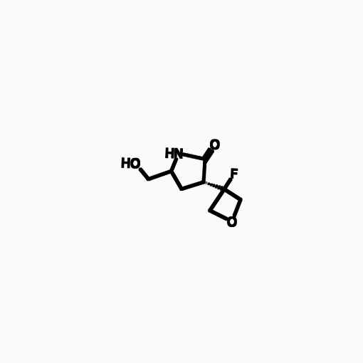 O=C1NC(CO)C[C@H]1C1(F)COC1